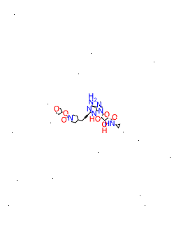 Nc1nc(C#CCC2CCN(C(=O)OC3CCOC3)CC2)nc2c1ncn2[C@@H]1O[C@H](C(=O)NC2CC2)[C@H](O)C1O